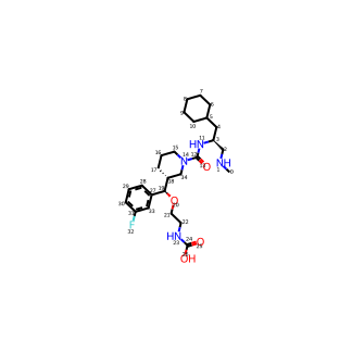 CNC[C@H](CC1CCCCC1)NC(=O)N1CCC[C@@H]([C@@H](OCCNC(=O)O)c2cccc(F)c2)C1